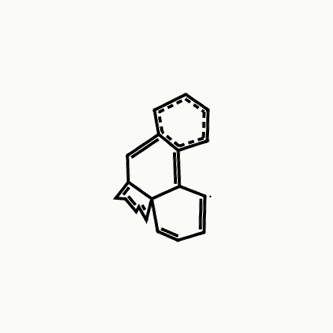 [C]1=CC=CC23C=CC=CC=C2C=c2ccccc2=C13